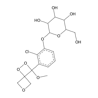 COC1(c2cccc(OC3OC(CO)C(O)C(O)C3O)c2Cl)OOC12COC2